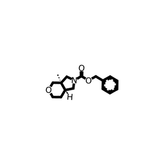 C[C@@]12COCC[C@@H]1CN(C(=O)OCc1ccccc1)C2